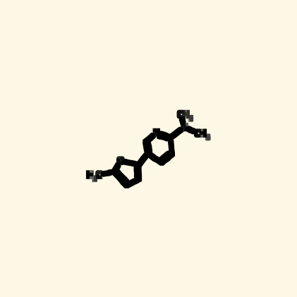 Cc1ccc(-c2ccc(N(C)C)nc2)o1